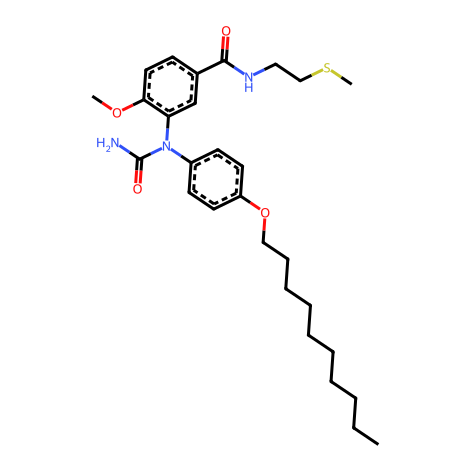 CCCCCCCCCCOc1ccc(N(C(N)=O)c2cc(C(=O)NCCSC)ccc2OC)cc1